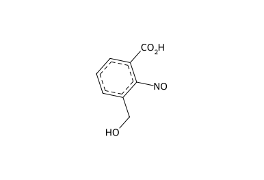 O=Nc1c(CO)cccc1C(=O)O